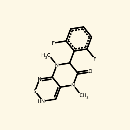 CN1C(=O)C(c2c(F)cccc2F)N(C)C2=NSNC=C21